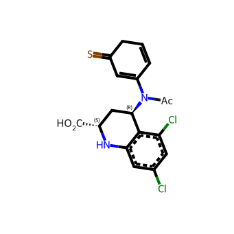 CC(=O)N(C1=CC(=S)CC=C1)[C@@H]1C[C@@H](C(=O)O)Nc2cc(Cl)cc(Cl)c21